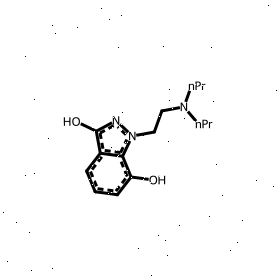 CCCN(CCC)CCn1nc(O)c2cccc(O)c21